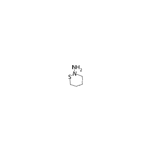 NN1CCCCS1